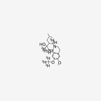 [2H]C([2H])([2H])Oc1cc2c(cc1OC)CCN1C([2H])([2H])C(CC(C)C)C([2H])(O)C([2H])([2H])C21[2H]